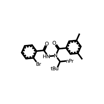 CCCC(N(NC(=O)c1ccccc1Br)C(=O)c1cc(C)cc(C)c1)C(C)(C)C